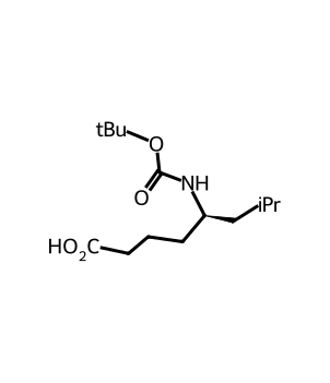 CC(C)C[C@@H](CCCC(=O)O)NC(=O)OC(C)(C)C